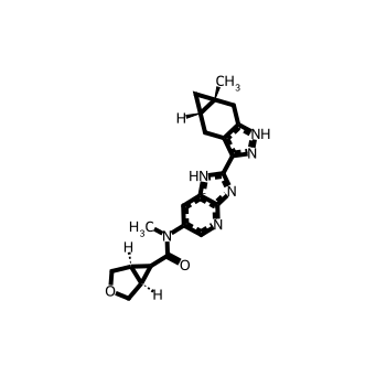 CN(C(=O)C1[C@H]2COC[C@@H]12)c1cnc2nc(-c3n[nH]c4c3C[C@@H]3C[C@]3(C)C4)[nH]c2c1